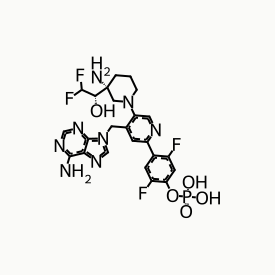 Nc1ncnc2c1ncn2Cc1cc(-c2cc(F)c(OP(=O)(O)O)cc2F)ncc1N1CCC[C@](N)([C@H](O)C(F)F)C1